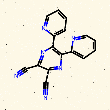 N#Cc1nc(-c2ccccn2)c(-c2ccccn2)nc1C#N